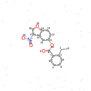 CCc1ccccc1C(=O)Oc1ccc2occ([N+](=O)[O-])c2c1